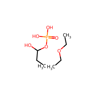 CCC(O)OP(=O)(O)O.CCOCC